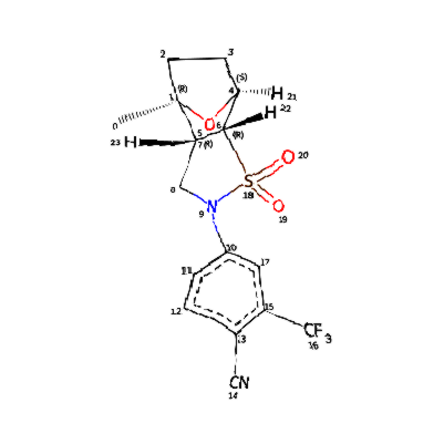 C[C@]12CC[C@H](O1)[C@H]1[C@@H]2CN(c2ccc(C#N)c(C(F)(F)F)c2)S1(=O)=O